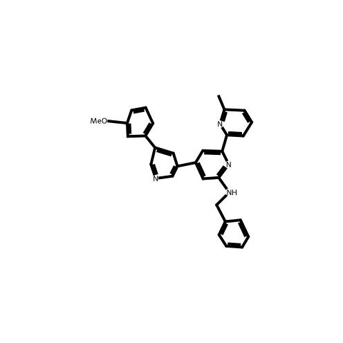 COc1cccc(-c2cncc(-c3cc(NCc4ccccc4)nc(-c4cccc(C)n4)c3)c2)c1